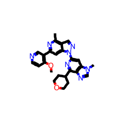 COc1ccncc1-c1cc2c(cnn2-c2cc3c(ncn3C)c(C3CCOCC3)n2)c(C)n1